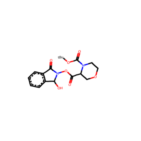 CC(C)(C)OC(=O)N1CCOCC1C(=O)ON1C(=O)c2ccccc2C1O